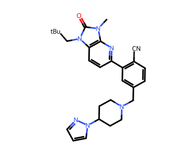 Cn1c(=O)n(CC(C)(C)C)c2ccc(-c3cc(CN4CCC(n5cccn5)CC4)ccc3C#N)nc21